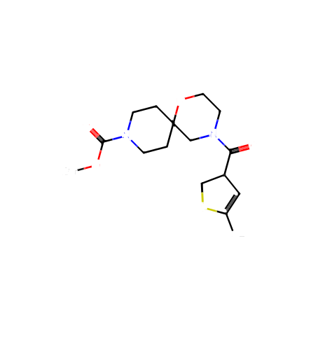 CC1=CC(C(=O)N2CCOC3(CCN(C(=O)OC(C)(C)C)CC3)C2)CS1